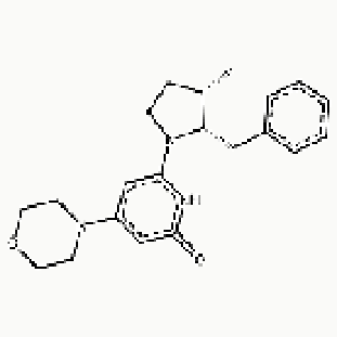 C[C@H]1CCN(c2cc(N3CCOCC3)cc(=O)[nH]2)[C@H]1Cc1ccccc1